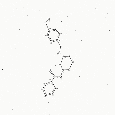 O=C(ON1CCC[C@@H](OCc2ccc(CBr)cc2)C1)c1ccccc1